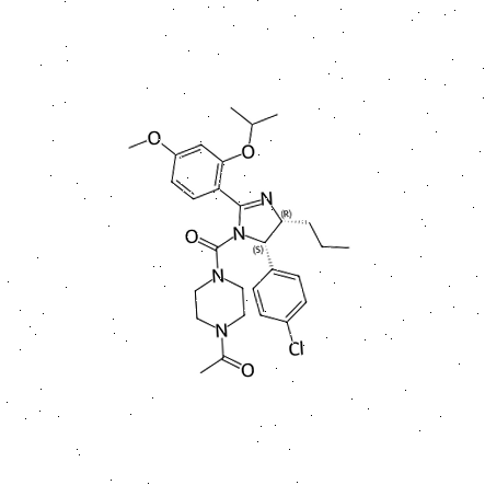 CCC[C@H]1N=C(c2ccc(OC)cc2OC(C)C)N(C(=O)N2CCN(C(C)=O)CC2)[C@H]1c1ccc(Cl)cc1